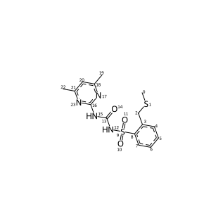 CSCc1ccccc1S(=O)(=O)NC(=O)Nc1nc(C)cc(C)n1